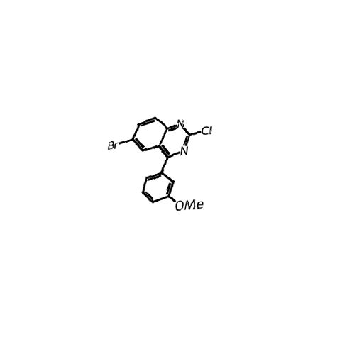 COc1cccc(-c2nc(Cl)nc3ccc(Br)cc23)c1